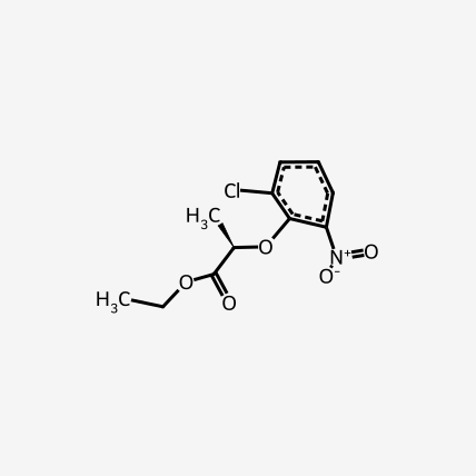 CCOC(=O)[C@@H](C)Oc1c(Cl)cccc1[N+](=O)[O-]